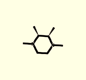 C[C@@H]1[C@H](C)N(C)CCN1C